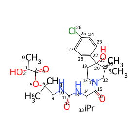 CC(O)C(=O)OC(C)(C)CNC(=O)NC(C(=O)N1CCC(O)(c2ccc(Cl)cc2)C(C)(C)C1)C(C)C